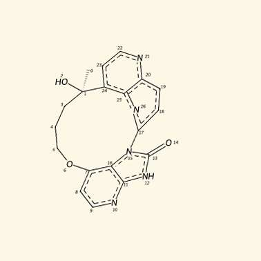 C[C@@]1(O)CCCOc2ccnc3[nH]c(=O)n(c23)-c2ccc3nccc1c3n2